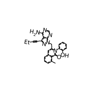 CCC#Cc1nn(Cc2cc3cccc(C)c3c(=O)n2-c2ccccc2O)c2ncnc(N)c12